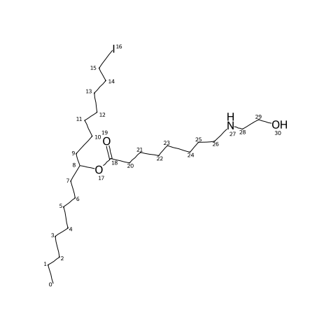 CCCCCCCCC(CCCCCCCI)OC(=O)CCCCCCCNCCO